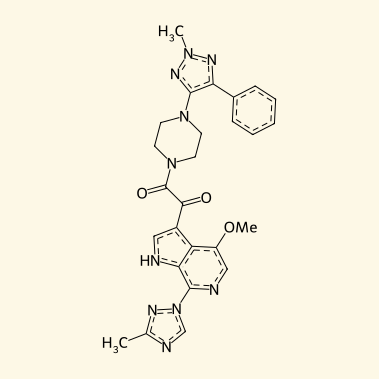 COc1cnc(-n2cnc(C)n2)c2[nH]cc(C(=O)C(=O)N3CCN(c4nn(C)nc4-c4ccccc4)CC3)c12